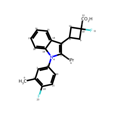 Cc1cc(-n2c(C(C)C)c(C3CC(F)(C(=O)O)C3)c3ccccc32)ccc1F